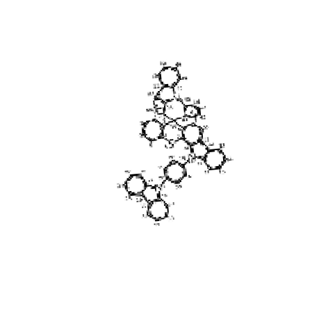 c1ccc2c(c1)Sc1c(ccc3c4ccccc4n(-c4ccc(-n5c6ccccc6c6ccccc65)cc4)c13)C21c2ccccc2-n2c3ccccc3c3cccc1c32